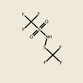 O=S(=O)(NSC(F)(F)F)C(F)(F)F